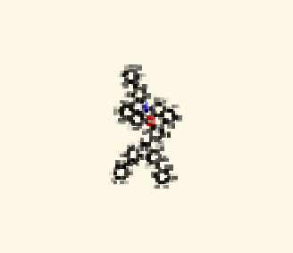 c1ccc(-c2ccc(CC(c3ccc(-c4ccccc4)cc3)c3ccc4c(c3)Oc3c(N(c5ccc(-c6ccccc6)cc5)c5cccc6ccccc56)ccc5cccc-4c35)cc2)cc1